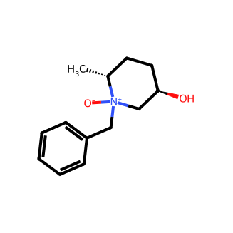 C[C@@H]1CC[C@@H](O)C[N+]1([O-])Cc1ccccc1